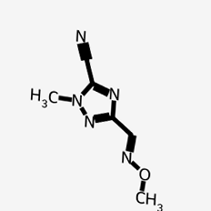 CO/N=C/c1nc(C#N)n(C)n1